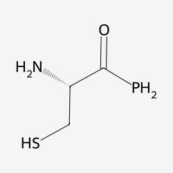 N[C@@H](CS)C(=O)P